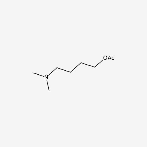 CC(=O)OCCCCN(C)C